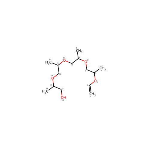 C=COC(C)COC(C)COC(C)COC(C)CO